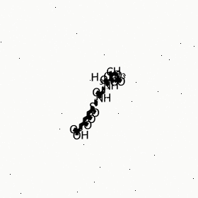 CC1(C)COC(=O)O[C@H]1C(=O)NCCC(=O)NCCSC(=O)CC(=O)CC(=O)CCC(=O)O